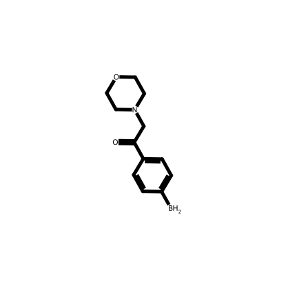 Bc1ccc(C(=O)CN2CCOCC2)cc1